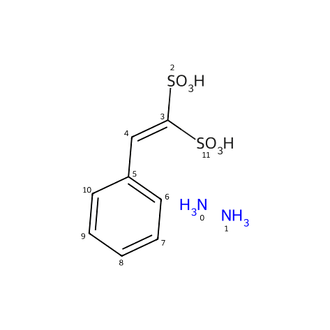 N.N.O=S(=O)(O)C(=Cc1ccccc1)S(=O)(=O)O